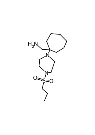 CCCS(=O)(=O)N1CCN(C2(CN)CCCCCC2)CC1